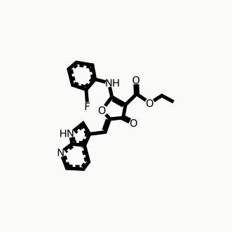 CCOC(=O)C1=C(Nc2ccccc2F)OC(=Cc2c[nH]c3ncccc23)C1=O